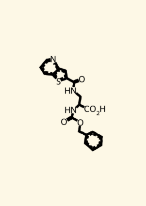 O=C(NC(CNC(=O)c1cc2ncccc2s1)C(=O)O)OCc1ccccc1